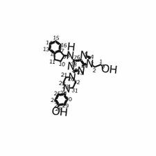 OCCn1cnc2c(NC3CCc4ccccc43)nc(N3CCN(c4ccc(O)cc4)CC3)nc21